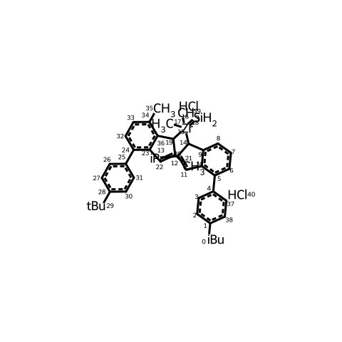 CCC(C)c1ccc(-c2cccc3c2C=C(C(C)C)[CH]3[Zr]([CH3])([CH3])(=[SiH2])[CH]2C(C)=Cc3c(-c4ccc(C(C)(C)C)cc4)ccc(C)c32)cc1.Cl.Cl